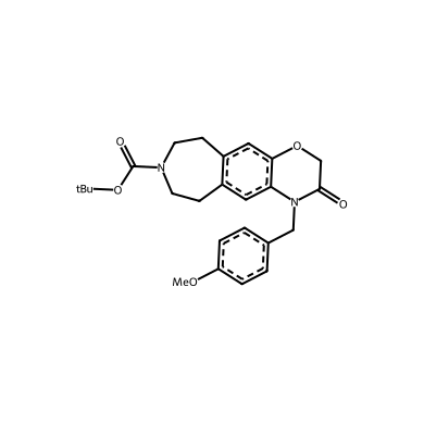 COc1ccc(CN2C(=O)COc3cc4c(cc32)CCN(C(=O)OC(C)(C)C)CC4)cc1